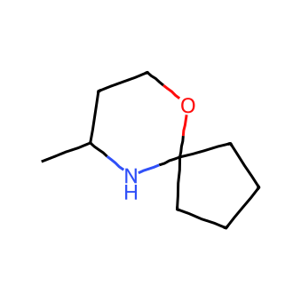 CC1CCOC2(CCCC2)N1